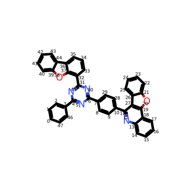 c1ccc(-c2nc(-c3ccc(-c4nc5ccccc5c5oc6ccccc6c45)cc3)nc(-c3cccc4c3oc3ccccc34)n2)cc1